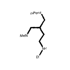 CCCCCCC(CCNCC)CNC